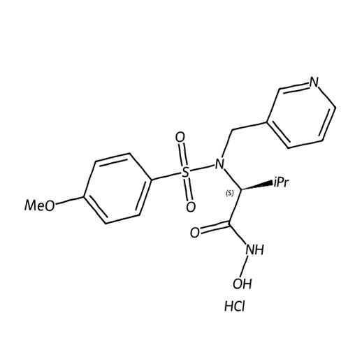 COc1ccc(S(=O)(=O)N(Cc2cccnc2)[C@H](C(=O)NO)C(C)C)cc1.Cl